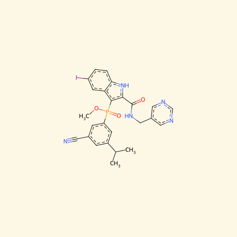 COP(=O)(c1cc(C#N)cc(C(C)C)c1)c1c(C(=O)NCc2cncnc2)[nH]c2ccc(I)cc12